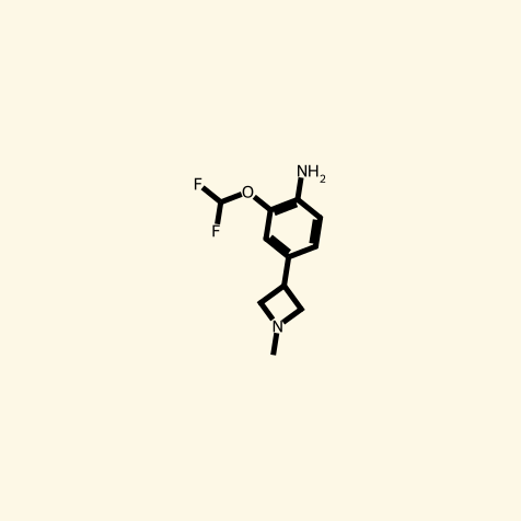 CN1CC(c2ccc(N)c(OC(F)F)c2)C1